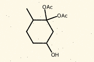 CC(=O)OC1(OC(C)=O)CC(O)CCC1C